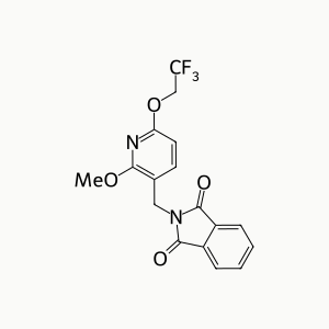 COc1nc(OCC(F)(F)F)ccc1CN1C(=O)c2ccccc2C1=O